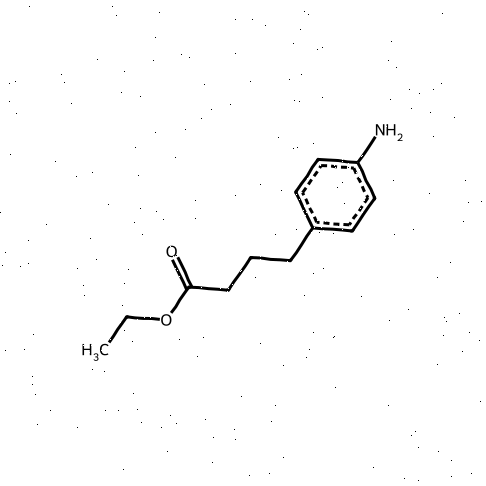 CCOC(=O)CCCc1ccc(N)cc1